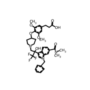 COc1cc(CCC(=O)O)cc(OC)c1OC1CCN(CC(O)(c2cn(Cc3ccccc3)c3cc(C(=O)N(C)C)ccc23)C(F)(F)F)CC1